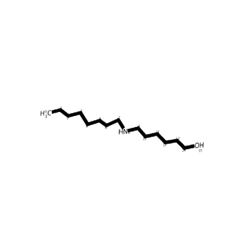 CCCCCCCCNCCCCCCO